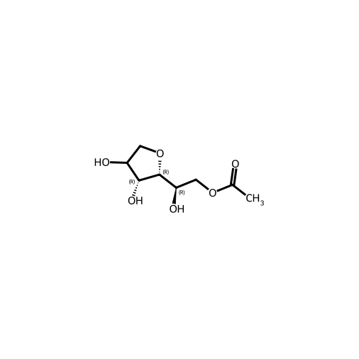 CC(=O)OC[C@@H](O)[C@H]1OCC(O)[C@H]1O